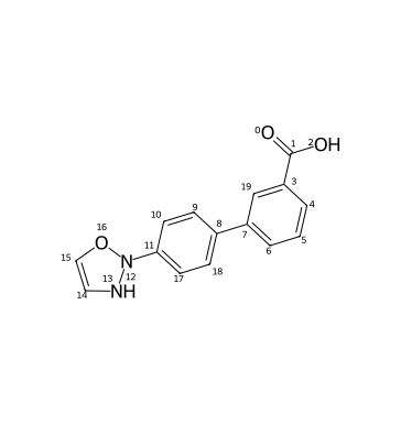 O=C(O)c1cccc(-c2ccc(N3NC=CO3)cc2)c1